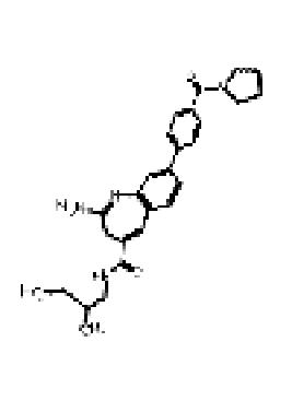 CC(CO)CNC(=O)C1=Cc2ccc(-c3ccc(C(=O)N4CCCC4)cc3)cc2N=C(N)C1